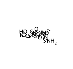 Nc1nc(C(=NOC2CC2)C(=O)N[C@@H]2C(=O)N3C(C(=O)O)=C(S/C=C\c4cccnc4)CS[C@@H]23)cs1